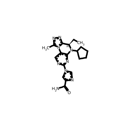 CC[C@@H]1c2nnc(C)n2-c2cnc(-n3cnc(C(N)=O)c3)nc2N1C1CCCC1